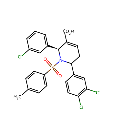 Cc1ccc(S(=O)(=O)N2C(c3ccc(Cl)c(Cl)c3)CC=C(C(=O)O)[C@@H]2c2cccc(Cl)c2)cc1